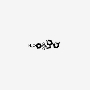 Cc1ccc(S(=O)(=O)N2CCc3c(-c4cccc(F)n4)ccnc32)cc1